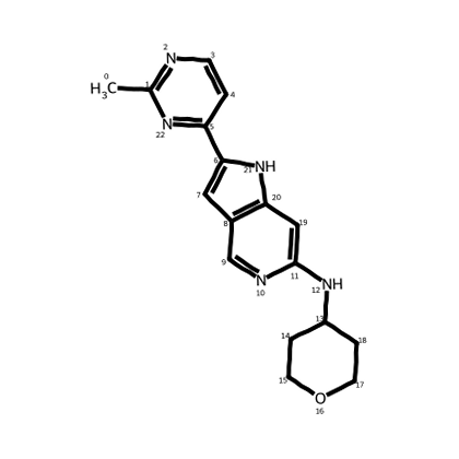 Cc1nccc(-c2cc3cnc(NC4CCOCC4)cc3[nH]2)n1